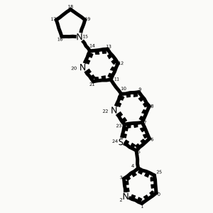 c1cncc(-c2cc3ccc(-c4ccc(N5CCCC5)nc4)nc3s2)c1